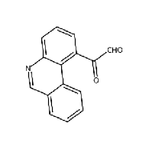 O=CC(=O)c1cccc2ncc3ccccc3c12